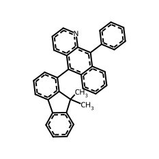 CC1(C)c2ccccc2-c2cccc(-c3c4ccccc4c(-c4ccccc4)c4ncccc34)c21